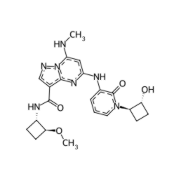 CNc1cc(Nc2cccn([C@@H]3CC[C@H]3O)c2=O)nc2c(C(=O)N[C@H]3CC[C@@H]3OC)cnn12